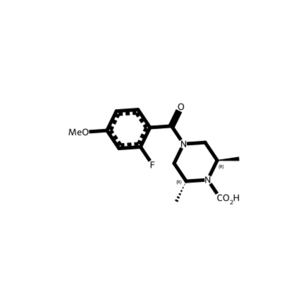 COc1ccc(C(=O)N2C[C@@H](C)N(C(=O)O)[C@H](C)C2)c(F)c1